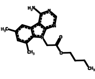 CCCCOC(=O)Cn1c2ncnc(N)c2c2cc(C)cc(C)c21